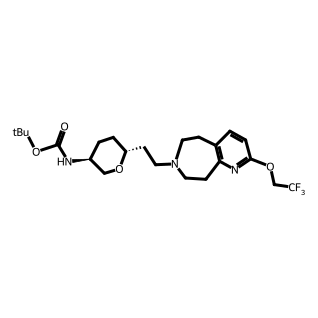 CC(C)(C)OC(=O)N[C@H]1CC[C@H](CCN2CCc3ccc(OCC(F)(F)F)nc3CC2)OC1